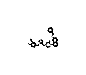 N#Cc1cc(Cn2cncc2CN2CCN(c3cccc4ccc(OCc5ccccc5)cc34)C(=O)C2)ccc1F